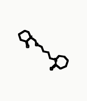 O=C1CCCCCN1CCCCOCN1CCCCC1=O